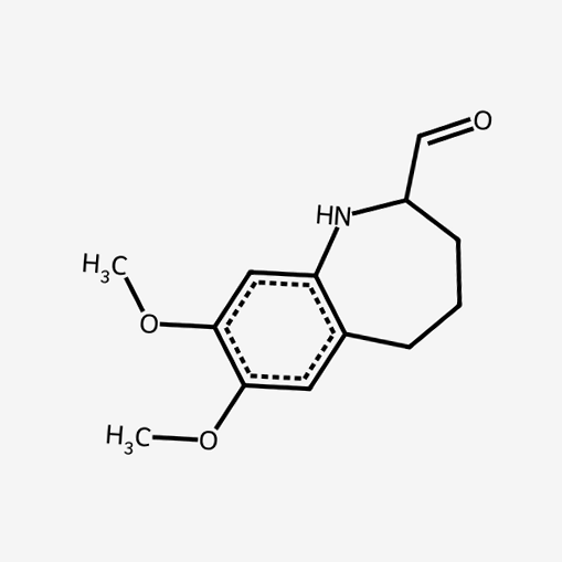 COc1cc2c(cc1OC)NC(C=O)CCC2